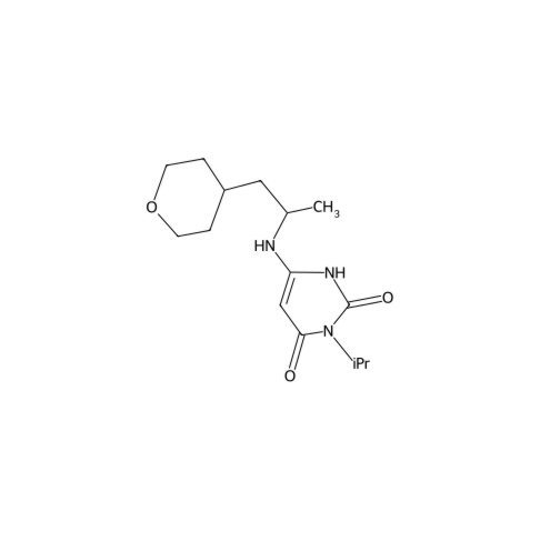 CC(CC1CCOCC1)Nc1cc(=O)n(C(C)C)c(=O)[nH]1